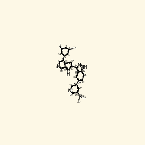 Cc1cc(F)cc(-c2cncc3[nH]c(-c4n[nH]c5ccc(-c6cncc(N(C)C)c6)cc45)cc23)c1